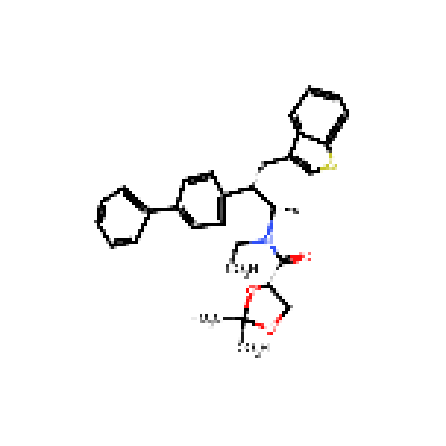 C[C@@H]([C@@H](Cc1csc2ccccc12)c1ccc(-c2ccccc2)cc1)N(CC(=O)O)C(=O)[C@@H]1COC(C(=O)O)(C(=O)O)O1